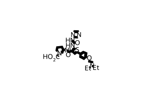 CCN(CC)CCOc1ccc(-c2cc(C(=O)NC3CCCN(C(=O)O)C3)c(NC(=O)Nc3cnccn3)s2)cc1